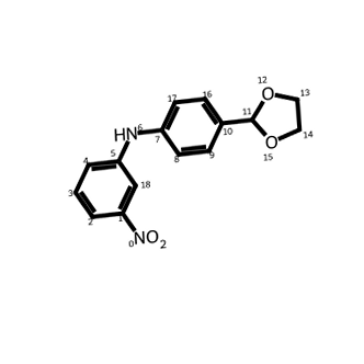 O=[N+]([O-])c1cccc(Nc2ccc(C3OCCO3)cc2)c1